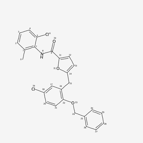 Cc1cccc(Cl)c1NC(=O)c1ccc(Cc2cc(Cl)ccc2OCc2ccccc2)o1